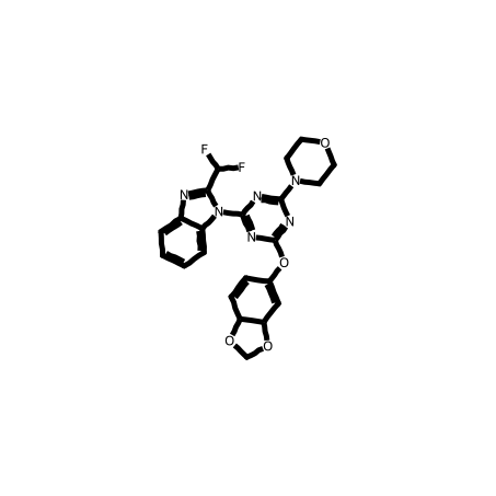 FC(F)c1nc2ccccc2n1-c1nc(OC2=CC3OCOC3C=C2)nc(N2CCOCC2)n1